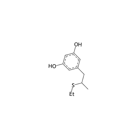 CCSC(C)Cc1cc(O)cc(O)c1